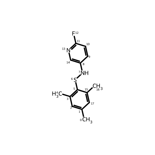 Cc1cc(C)c(SNc2ccc(F)nc2)c(C)c1